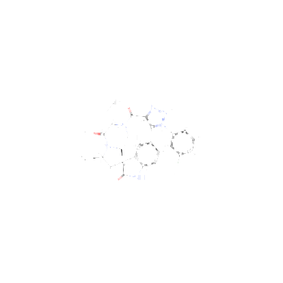 CC(C)C[C@@H](C(=O)N1C[C@]2(C[C@H]1C#N)C(=O)Nc1ccccc12)N(C)C(=O)c1cn(-c2cccc(Cl)c2)nn1